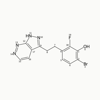 Oc1c(Br)ccc(CCc2n[nH]c3nnccc23)c1F